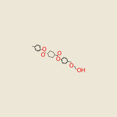 Cc1ccc(OC(=O)[C@H]2CC[C@H](C(=O)Oc3ccc(COCCO)cc3)CC2)cc1